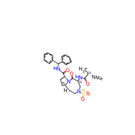 CN[C@@H](C)C(=O)N[C@H]1CN([SH](=O)=O)CC[C@H]2CCC(C(=O)NC(c3ccccc3)c3ccccc3)N2C1=O